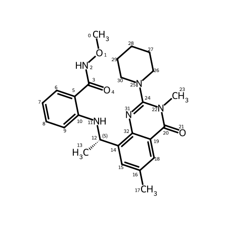 CONC(=O)c1ccccc1N[C@@H](C)c1cc(C)cc2c(=O)n(C)c(N3CCCCC3)nc12